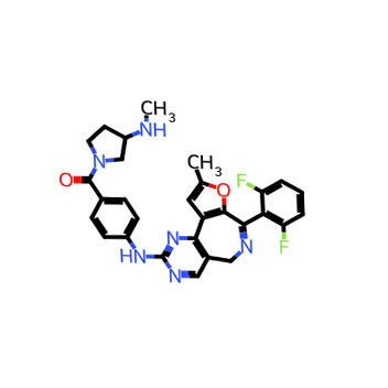 CNC1CCN(C(=O)c2ccc(Nc3ncc4c(n3)-c3cc(C)oc3C(c3c(F)cccc3F)=NC4)cc2)C1